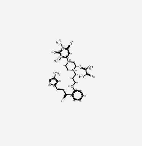 Cc1csc(C=CC(=O)c2ccccc2OCCCN2CCN(c3cc(=O)n(C)c(=O)n3C)CC2)c1.O=C(O)C(=O)O